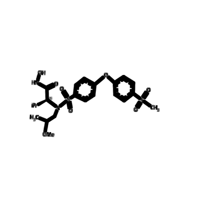 COC(C)CN([C@H](C(=O)NO)C(C)C)S(=O)(=O)c1ccc(Oc2ccc(S(C)(=O)=O)cc2)cc1